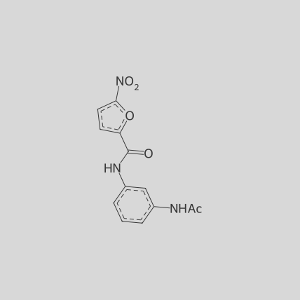 CC(=O)Nc1cccc(NC(=O)c2ccc([N+](=O)[O-])o2)c1